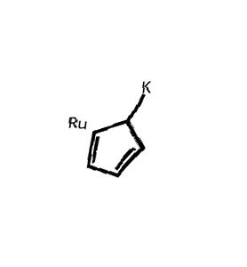 [K][CH]1C=CC=C1.[Ru]